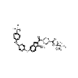 Cn1c(C(=O)N2CCN(C(=O)OC(C)(C)C)CC2)cc2cc(Oc3ccc(Nc4ccc(C(F)(F)F)cc4)cn3)ccc21